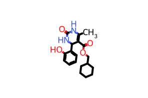 CC1=C(C(=O)OCC2CCCCC2)C(c2ccccc2O)NC(=O)N1